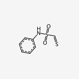 O=S(=O)(C=S)Nc1ccccc1